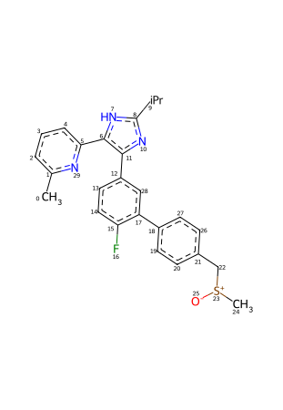 Cc1cccc(-c2[nH]c(C(C)C)nc2-c2ccc(F)c(-c3ccc(C[S+](C)[O-])cc3)c2)n1